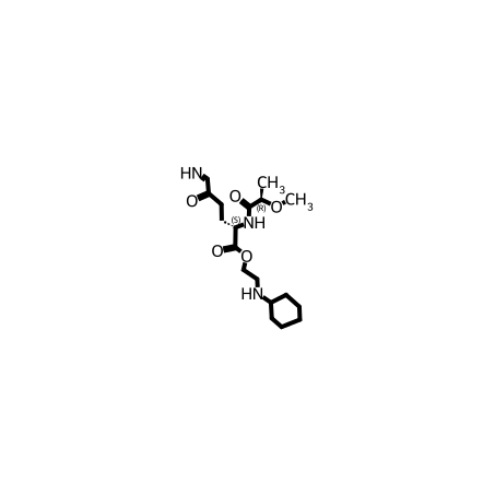 CO[C@H](C)C(=O)N[C@@H](CCC(=O)C=N)C(=O)OCCNC1CCCCC1